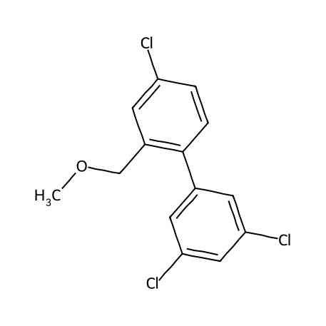 COCc1cc(Cl)ccc1-c1cc(Cl)cc(Cl)c1